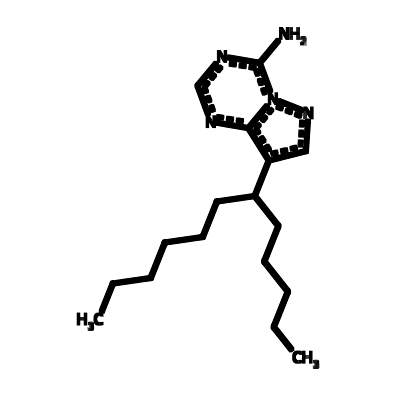 CCCCCCC(CCCCC)c1cnn2c(N)ncnc12